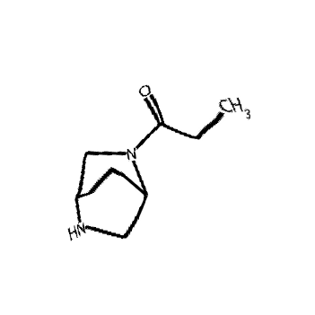 CCC(=O)N1CC2CC1CN2